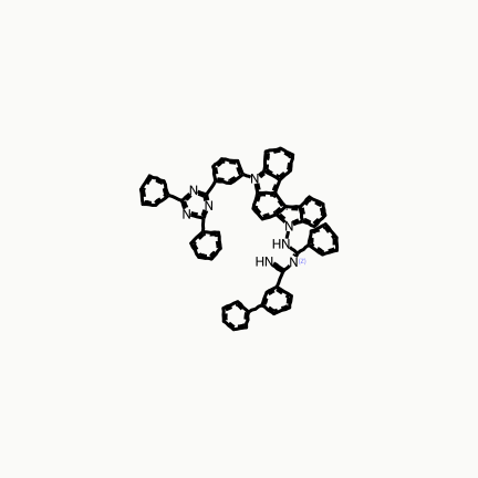 N=C(/N=C(\Nn1c2ccccc2c2c3c4ccccc4n(-c4cccc(-c5nc(-c6ccccc6)nc(-c6ccccc6)n5)c4)c3ccc21)c1ccccc1)c1cccc(-c2ccccc2)c1